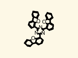 C1=CC2Oc3c(-c4nc(-c5cccc6c5oc5ccccc56)nc(-c5cccc6c5oc5ccccc56)n4)cccc3C2C=C1